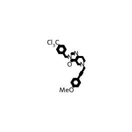 COc1ccc(C#CCN2CCc3ncn(Cc4ccc(C(Cl)(Cl)Cl)cc4)c(=O)c3C2)cc1